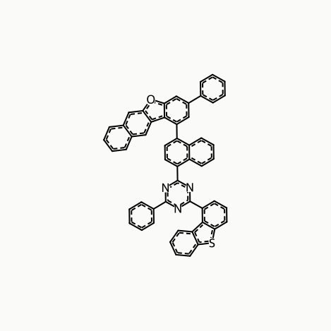 c1ccc(-c2cc(-c3ccc(-c4nc(-c5ccccc5)nc(-c5cccc6sc7ccccc7c56)n4)c4ccccc34)c3c(c2)oc2cc4ccccc4cc23)cc1